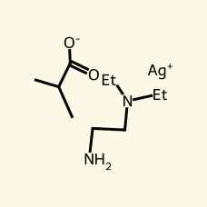 CC(C)C(=O)[O-].CCN(CC)CCN.[Ag+]